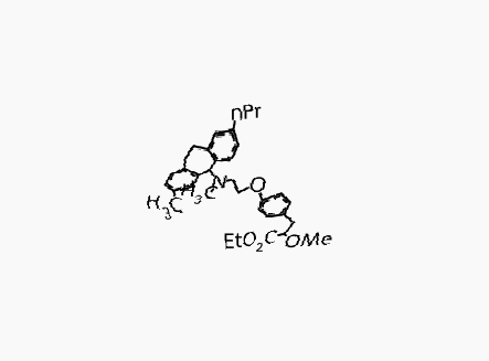 CCCc1ccc2c(c1)CCc1ccc(C)cc1C2N(C)CCOc1ccc(CC(OC)C(=O)OCC)cc1